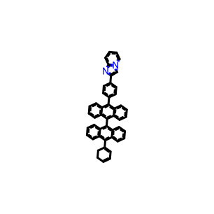 C1=CCCC(c2c3ccccc3c(-c3c4ccccc4c(-c4ccc(-c5cn6ccccc6n5)cc4)c4ccccc34)c3ccccc23)=C1